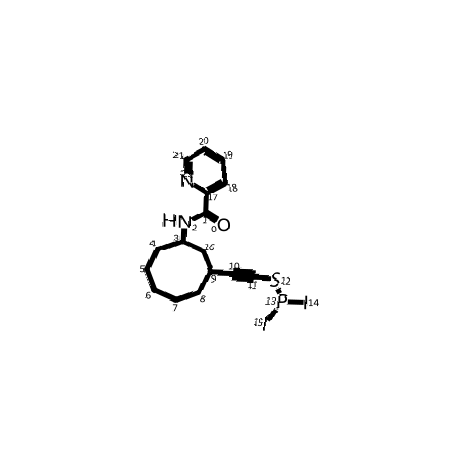 O=C(NC1CCCCCC(C#CSP(I)I)C1)c1ccccn1